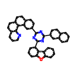 c1ccc2cc(-c3nc(-c4ccc5ccc6ccc7cccnc7c6c5c4)nc(-c4cccc5oc6ccccc6c45)n3)ccc2c1